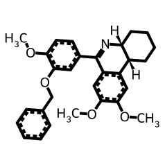 COc1cc2c(cc1OC)[C@H]1CCCC[C@H]1N=C2c1ccc(OC)c(OCc2ccccc2)c1